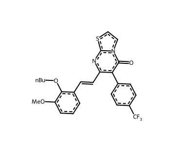 CCCCOc1c(C=Cc2nc3sccn3c(=O)c2-c2ccc(C(F)(F)F)cc2)cccc1OC